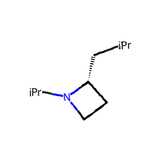 CC(C)C[C@@H]1CCN1C(C)C